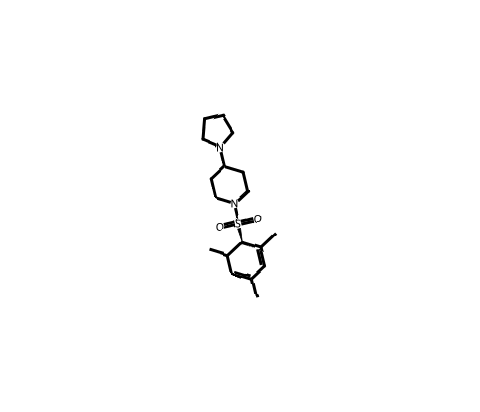 CC1=CC(C)[C@@H](S(=O)(=O)N2CCC(N3CCCC3)CC2)C(C)=C1